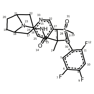 CC(C)(Oc1cc(F)c(F)cc1F)C(=O)NC1CC2CCC(C1)N2c1ccc(S(C)(=O)=O)cn1